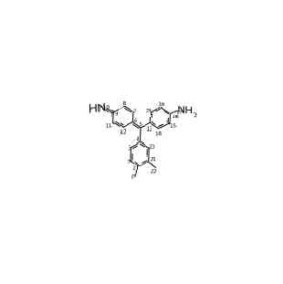 Cc1ccc(C(=C2C=CC(=N)C=C2)c2ccc(N)cc2)cc1C